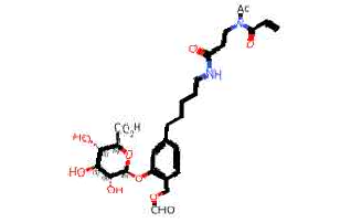 C=CC(=O)N(CCC(=O)NCCCCCc1ccc(COC=O)c(O[C@@H]2O[C@H](C(=O)O)[C@@H](O)[C@H](O)[C@H]2O)c1)C(C)=O